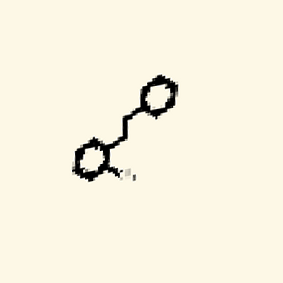 Cc1ccc[c]c1CCc1ccccc1